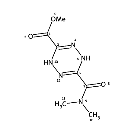 COC(=O)C1=NNC(C(=O)N(C)C)=NN1